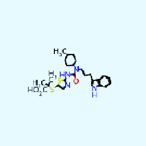 CC(C)(Sc1cnc(NC(=O)N(CCCc2c[nH]c3ccccc23)[C@H]2CC[C@H](C)CC2)s1)C(=O)O